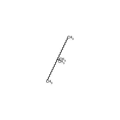 CCCCCCCCCCCCCCCCC[CH2][Al]([CH2]CCCCCCCCCCCCCCCCC)[CH](C)C